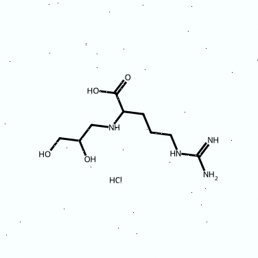 Cl.N=C(N)NCCCC(NCC(O)CO)C(=O)O